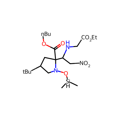 CCCCOC(=O)C1(C(C[N+](=O)[O-])NCC(=O)OCC)CC(C(C)(C)C)CN1O[SiH](C)C